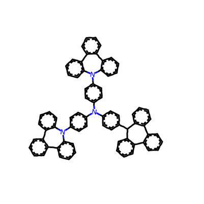 c1ccc2c(c1)-c1ccccc1C(c1ccc(N(c3ccc(N4c5ccccc5-c5ccccc5-c5ccccc54)cc3)c3ccc(N4c5ccccc5-c5ccccc5-c5ccccc54)cc3)cc1)c1ccccc1-2